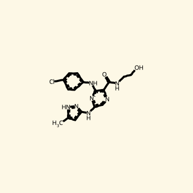 Cc1cc(Nc2cnc(C(=O)NCCO)c(Nc3ccc(Cl)cc3)n2)n[nH]1